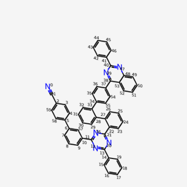 N#Cc1ccc(-c2cccc(-c3nc(-c4ccccc4)nc(-c4ccccc4-c4ccccc4-c4ccc(-c5nc(-c6ccccc6)nc6ccccc56)cc4)n3)c2)cc1